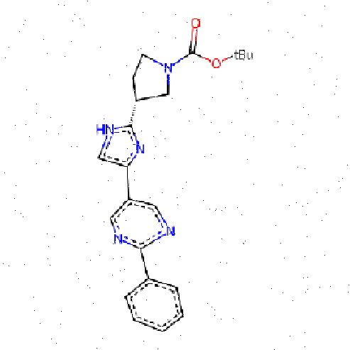 CC(C)(C)OC(=O)N1CC[C@@H](c2nc(-c3cnc(-c4ccccc4)nc3)c[nH]2)C1